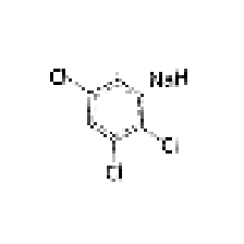 Clc1[c]cc(Cl)c(Cl)c1.[NaH]